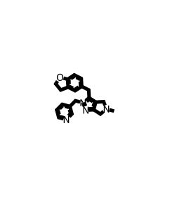 CN1Cc2nn(Cc3cccnc3)c(Cc3ccc4c(c3)CCO4)c2C1